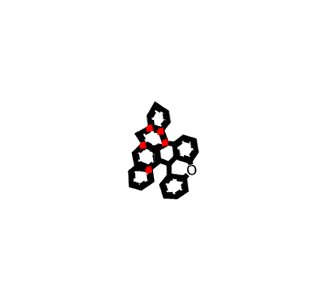 c1ccc(P(c2ccccc2)c2cccc3c2C(P(c2ccccc2)c2ccccc2)c2ccccc2O3)cc1